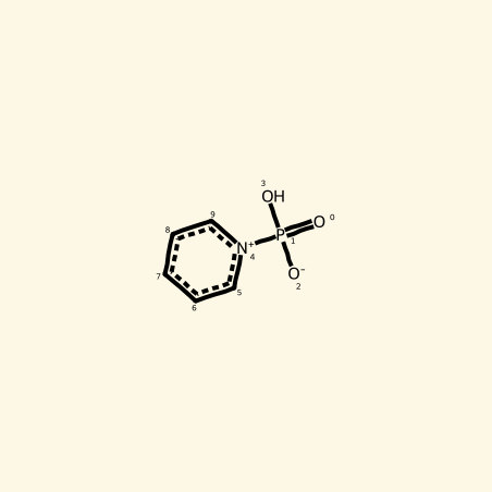 O=P([O-])(O)[n+]1ccccc1